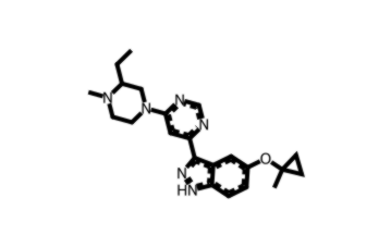 CCC1CN(c2cc(-c3n[nH]c4ccc(OC5(C)CC5)cc34)ncn2)CCN1C